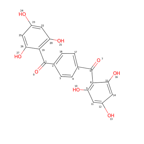 O=C(c1ccc(C(=O)c2c(O)cc(O)cc2O)cc1)c1c(O)cc(O)cc1O